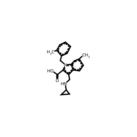 Cc1ccc2c(CNC3CC3)c(C(=O)O)n(Cc3ccccc3C)c2c1